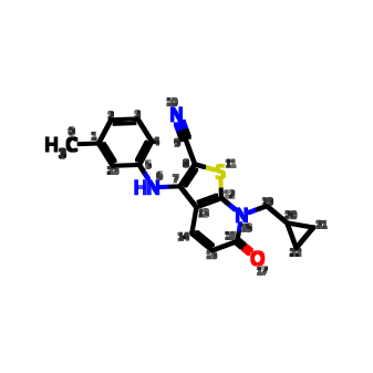 Cc1cccc(Nc2c(C#N)sc3c2ccc(=O)n3CC2CC2)c1